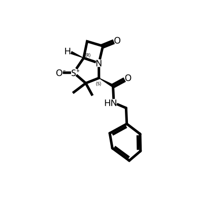 CC1(C)[C@H](C(=O)NCc2ccccc2)N2C(=O)C[C@H]2[S+]1[O-]